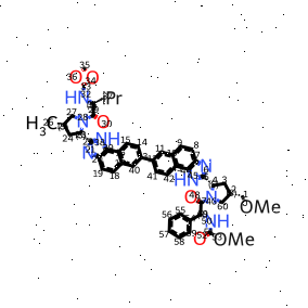 COC[C@H]1C[C@@H](c2nc3ccc4cc(-c5ccc6c(ccc7nc([C@@H]8C[C@H](C)CN8C(=O)[C@@H](NC8OCO8)C(C)C)[nH]c76)c5)ccc4c3[nH]2)N(C(=O)[C@H](NC(=O)OC)c2ccccc2)C1